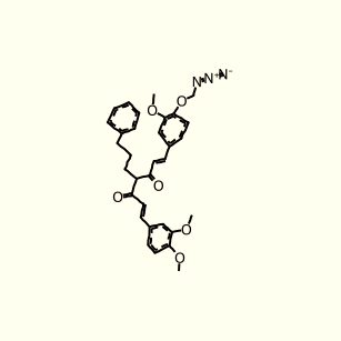 COc1ccc(/C=C/C(=O)C(CCCc2ccccc2)C(=O)/C=C/c2ccc(OCN=[N+]=[N-])c(OC)c2)cc1OC